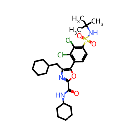 CC(C)(C)NS(=O)(=O)c1ccc(-c2oc(C(=O)NC3CCCCC3)nc2CC2CCCCC2)c(Cl)c1Cl